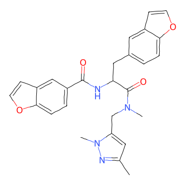 Cc1cc(CN(C)C(=O)C(Cc2ccc3occc3c2)NC(=O)c2ccc3occc3c2)n(C)n1